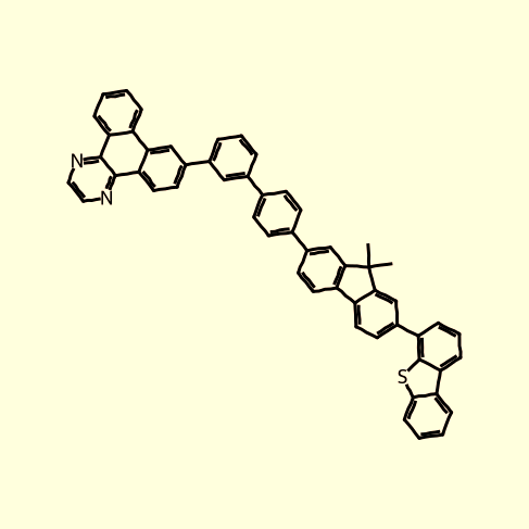 CC1(C)c2cc(-c3ccc(-c4cccc(-c5ccc6c(c5)c5ccccc5c5nccnc65)c4)cc3)ccc2-c2ccc(-c3cccc4c3sc3ccccc34)cc21